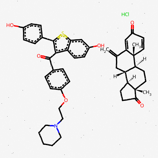 C=C1C[C@@H]2[C@H](CC[C@]3(C)C(=O)CC[C@@H]23)[C@@]2(C)C=CC(=O)C=C12.Cl.O=C(c1ccc(OCCN2CCCCC2)cc1)c1c(-c2ccc(O)cc2)sc2cc(O)ccc12